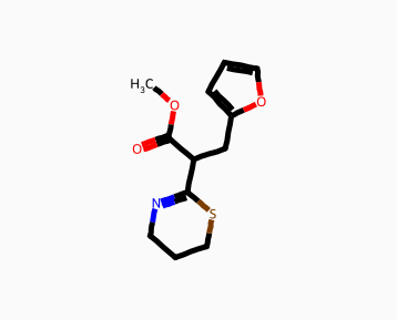 COC(=O)C(Cc1ccco1)C1=NCCCS1